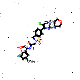 C=N/C(=N\C(=C(/C)Cl)c1ccc2c(c1)S(=O)(=O)N(CC(=O)N[C@H](CO)c1cc(F)cc(OC)c1)C2)NC1CCOCC1